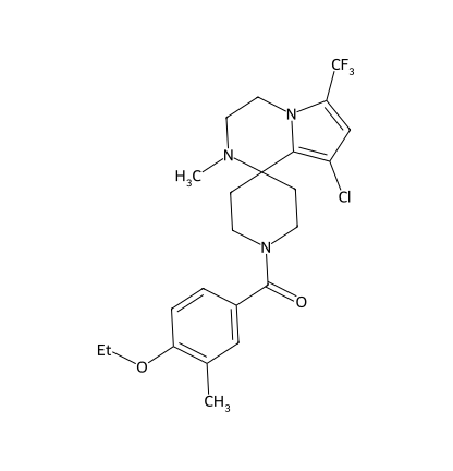 CCOc1ccc(C(=O)N2CCC3(CC2)c2c(Cl)cc(C(F)(F)F)n2CCN3C)cc1C